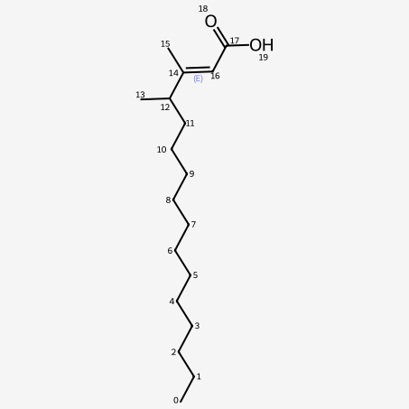 CCCCCCCCCCCCC(C)/C(C)=C/C(=O)O